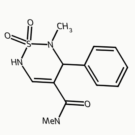 CNC(=O)C1=CNS(=O)(=O)N(C)C1c1ccccc1